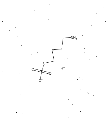 NCCCCOS(=O)(=O)[O-].[H+]